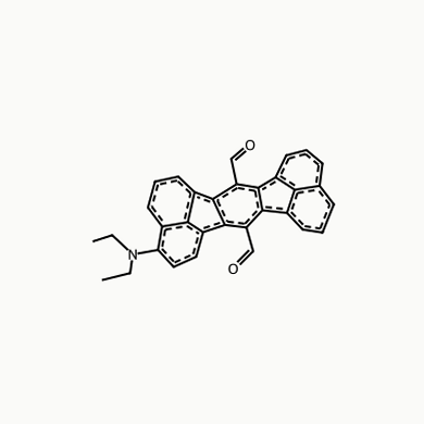 CCN(CC)c1ccc2c3c(C=O)c4c5cccc6cccc(c4c(C=O)c3c3cccc1c32)c65